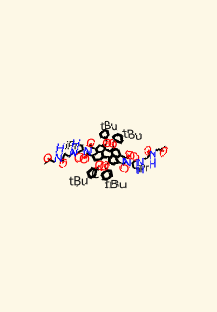 CC(C)CC(C(=O)NCCC(=O)NCC1CO1)N1C(=O)c2cc(Oc3ccc(C(C)(C)C)cc3)c3c4c(Oc5ccc(C(C)(C)C)cc5)cc5c6c(cc(Oc7ccc(C(C)(C)C)cc7)c(c7c(Oc8ccc(C(C)(C)C)cc8)cc(c2c37)C1=O)c64)C(=O)N(C(CC(C)C)C(=O)NCCC(=O)NCC1CO1)C5=O